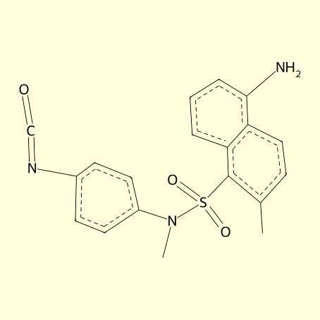 Cc1ccc2c(N)cccc2c1S(=O)(=O)N(C)c1ccc(N=C=O)cc1